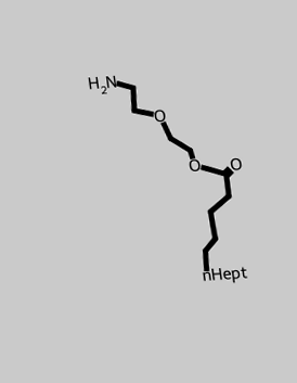 CCCCCCCCCCCC(=O)OCCOCCN